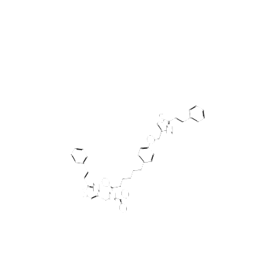 O=C1OC(CCCCc2ccc(OCc3csc(C=Cc4ccccc4)n3)cc2)C(=O)N1Cc1csc(C=Cc2ccccc2)n1